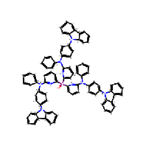 O=P(c1cccc(N(c2ccccc2)c2ccc(-n3c4ccccc4c4ccccc43)cc2)n1)(c1cccc(N(c2ccccc2)c2ccc(-n3c4ccccc4c4ccccc43)cc2)n1)c1cccc(N(c2ccccc2)c2ccc(-n3c4ccccc4c4ccccc43)cc2)n1